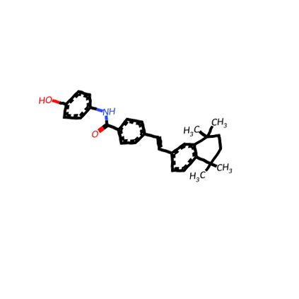 CC1(C)CCC(C)(C)c2cc(C=Cc3ccc(C(=O)Nc4ccc(O)cc4)cc3)ccc21